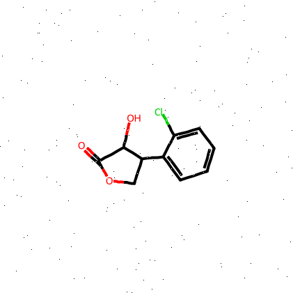 O=C1OCC(c2ccccc2Cl)C1O